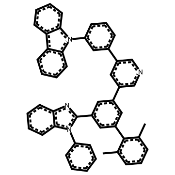 Cc1cccc(C)c1-c1cc(-c2cncc(-c3cccc(-n4c5ccccc5c5ccccc54)c3)c2)cc(-c2nc3ccccc3n2-c2ccccc2)c1